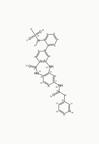 CN(c1ccccc1-c1ccc2c(c1)Nc1cc(NC(=O)Cc3cccnc3)ccc1NC2=O)S(C)(=O)=O